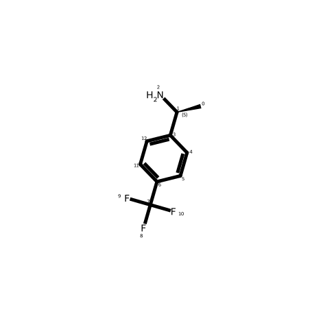 C[C@H](N)c1ccc(C(F)(F)F)cc1